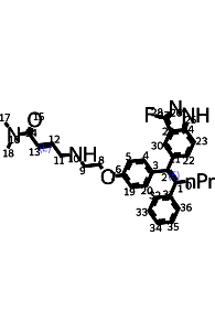 CCC/C(=C(/c1ccc(OCCNC/C=C/C(=O)N(C)C)cc1)c1ccc2[nH]nc(F)c2c1)c1ccccc1